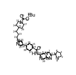 CN1CCC[C@@H]1c1cn2cc(NC(=O)c3ccc(-c4cnn(CCCC5CCN(C(=O)OC(C)(C)C)CC5)c4)cc3)ncc2n1